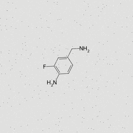 NCc1ccc(N)c(F)c1